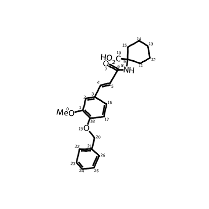 COc1cc(/C=C/C(=O)NC2(C(=O)O)CCCCC2)ccc1OCc1ccccc1